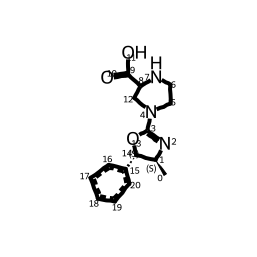 C[C@@H]1N=C(N2CCNC(C(=O)O)C2)O[C@H]1c1ccccc1